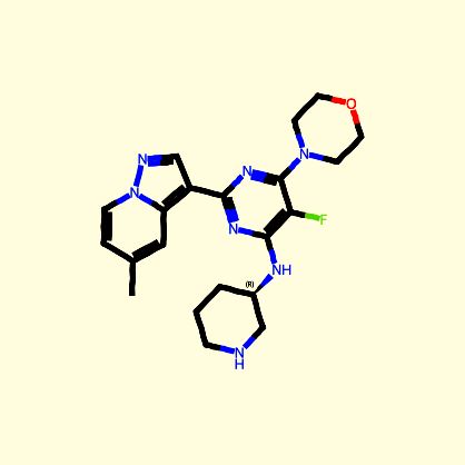 Cc1ccn2ncc(-c3nc(N[C@@H]4CCCNC4)c(F)c(N4CCOCC4)n3)c2c1